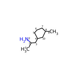 CC(N)CC1CCCC(C)C1